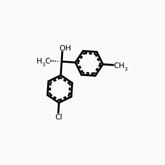 Cc1ccc([C@](C)(O)c2ccc(Cl)cc2)cc1